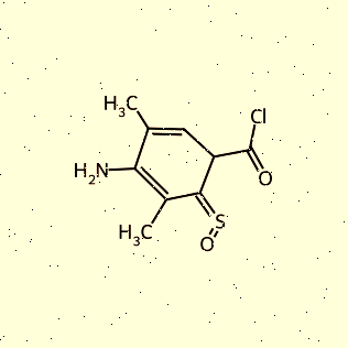 CC1=CC(C(=O)Cl)C(=S=O)C(C)=C1N